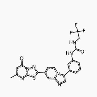 Cc1cc(=O)n2nc(-c3ccn4c(-c5cccc(NC(=O)NCC(F)(F)F)c5)cnc4c3)sc2n1